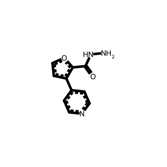 NNC(=O)c1occc1-c1ccncc1